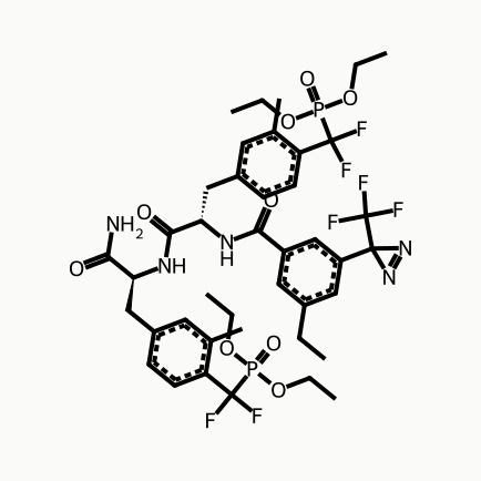 CCOP(=O)(OCC)C(F)(F)c1ccc(C[C@H](NC(=O)[C@H](Cc2ccc(C(F)(F)P(=O)(OCC)OCC)c(C)c2)NC(=O)c2cc(CC)cc(C3(C(F)(F)F)N=N3)c2)C(N)=O)cc1C